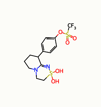 O=S(=O)(Oc1ccc(C2CCCN3CCS(O)(O)N=C23)cc1)C(F)(F)F